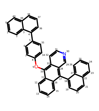 c1ccc2c(-c3ccc(Oc4c5ccccc5c(-c5cccc6ccccc56)c5cnccc45)cc3)cccc2c1